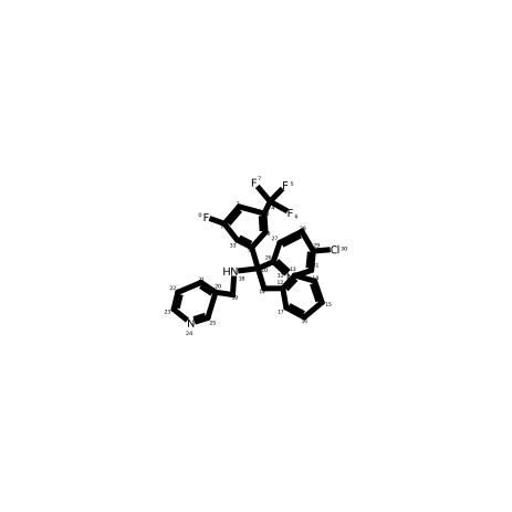 Fc1cc(C(F)(F)F)cc(C(Cc2ccccc2)(NCc2cccnc2)c2ccc(Cl)cn2)c1